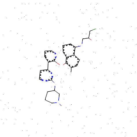 Cc1ccc2c(NCC(O)CF)cccc2c1Oc1ncccc1-c1ccnc(NC2CCCN(C(=O)O)C2)n1